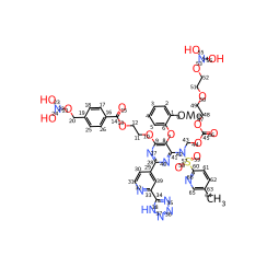 COc1ccccc1Oc1c(OCCOC(=O)c2ccc(CON(O)O)cc2)nc(-c2ccnc(-c3nnn[nH]3)c2)nc1N(COC(=O)OCCOCCON(O)O)S(=O)(=O)c1ccc(C)cn1